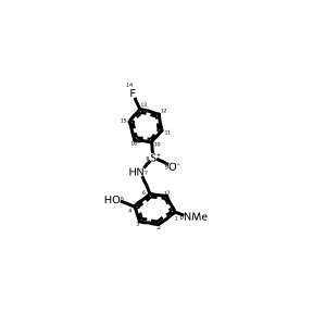 CNc1ccc(O)c(N[S+]([O-])c2ccc(F)cc2)c1